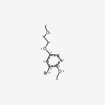 COCCOc1cnc(OC)c(Br)c1